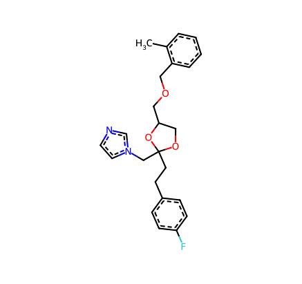 Cc1ccccc1COCC1COC(CCc2ccc(F)cc2)(Cn2ccnc2)O1